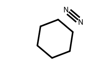 C1CCCCC1.N#N